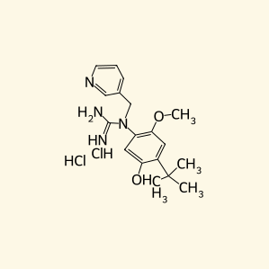 COc1cc(C(C)(C)C)c(O)cc1N(Cc1cccnc1)C(=N)N.Cl.Cl